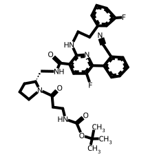 CC(C)(C)OC(=O)NCCC(=O)N1CCC[C@@H]1CNC(=O)c1cc(F)c(-c2ccccc2C#N)nc1NCCc1cccc(F)c1